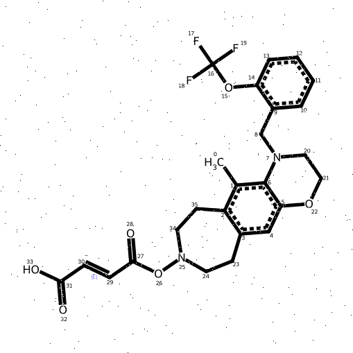 Cc1c2c(cc3c1N(Cc1ccccc1OC(F)(F)F)CCO3)CCN(OC(=O)/C=C/C(=O)O)CC2